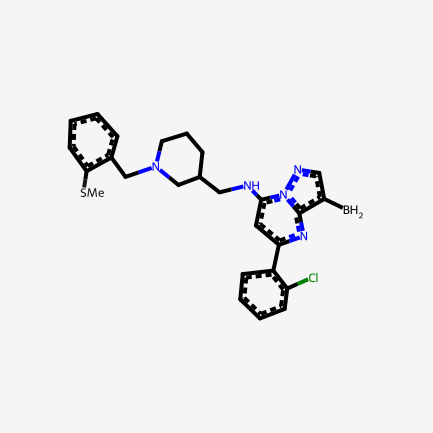 Bc1cnn2c(NCC3CCCN(Cc4ccccc4SC)C3)cc(-c3ccccc3Cl)nc12